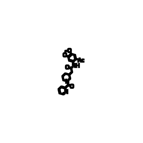 CC(=O)c1cc2c(cc1NC(=O)CC1CCCN(C(=O)c3ccccn3)C1)OCO2